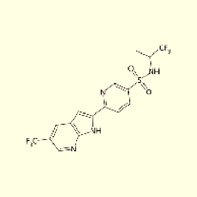 CC(NS(=O)(=O)c1ccc(-c2cc3cc(C(F)(F)F)cnc3[nH]2)nc1)C(F)(F)F